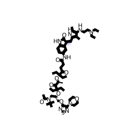 CCN(CC)CCNc1c(C)[nH]c(/C=C2\C(=O)Nc3ccc(NC(=O)CCC(=O)C(CC)(CC)O[C@@H](C)C(=O)C(CC)(CC)O[C@H](COc4nsnc4N4CCOCC4)CN(C(C)=O)C(C)(C)C)cc32)c1C